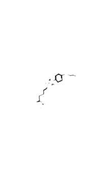 CC(C)(C)OC(=O)CCC=CNS(=O)(=O)c1ccc(OCCF)cc1